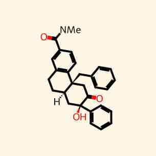 CNC(=O)c1ccc2c(c1)CC[C@@H]1C[C@@](O)(c3ccccc3)C(=O)C[C@@]21Cc1ccccc1